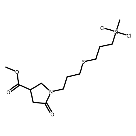 COC(=O)C1CC(=O)N(CCCSCCC[Si](C)(Cl)Cl)C1